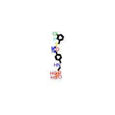 O=P(O)(O)OCCNCc1ccc(-c2nnc(SCc3cccc(Cl)c3F)o2)cc1